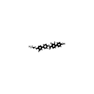 CCOCc1ccc(C2CCC(OC(=O)c3ccc(-c4ccc(O)cc4)c(F)c3F)CC2)cc1F